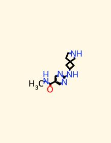 CNC(=O)c1cnc(NC2CC3(CCNC3)C2)nc1